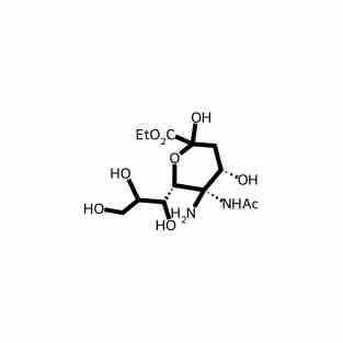 CCOC(=O)C1(O)C[C@H](O)[C@](N)(NC(C)=O)[C@H](C(O)C(O)CO)O1